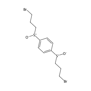 [O-][S+](CCCBr)c1ccc([S+]([O-])CCCBr)cc1